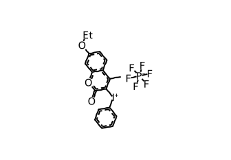 CCOc1ccc2c(C)c([I+]c3ccccc3)c(=O)oc2c1.F[P-](F)(F)(F)(F)F